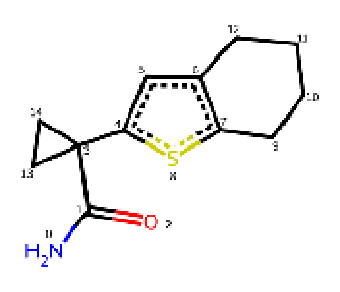 NC(=O)C1(c2cc3c(s2)CCCC3)CC1